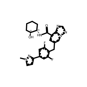 Cn1ccc(-c2cc(F)c(Cc3cc(C(=O)N[C@H]4CCCC[C@@H]4O)c4ncnn4c3)c(F)c2)n1